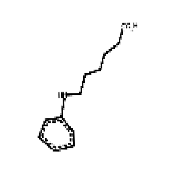 O=C(O)CCCCCNc1ccccc1